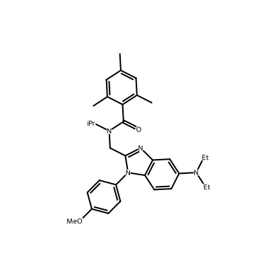 CCN(CC)c1ccc2c(c1)nc(CN(C(=O)c1c(C)cc(C)cc1C)C(C)C)n2-c1ccc(OC)cc1